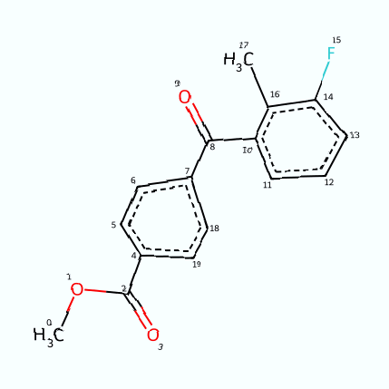 COC(=O)c1ccc(C(=O)c2cccc(F)c2C)cc1